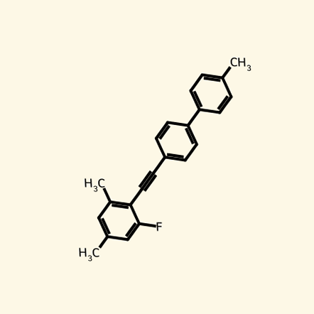 Cc1ccc(-c2ccc(C#Cc3c(C)cc(C)cc3F)cc2)cc1